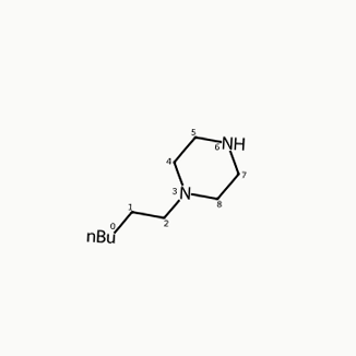 CCCCCCN1CCNCC1